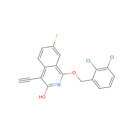 C#Cc1c(O)nc(OCc2cccc(Cl)c2Cl)c2cc(F)ccc12